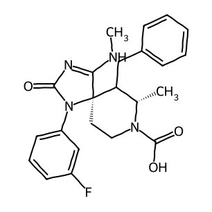 CNC1=NC(=O)N(c2cccc(F)c2)[C@@]12CCN(C(=O)O)[C@@H](C)C2Cc1ccccc1